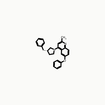 Cc1cc(N2CC[C@H](Cc3ccccc3)C2)c2cc(Oc3ccccc3)ccc2n1